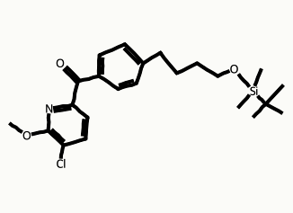 COc1nc(C(=O)c2ccc(CCCCO[Si](C)(C)C(C)(C)C)cc2)ccc1Cl